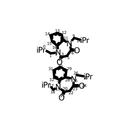 CC(C)CN1C(=O)CC(=O)N(CC(C)C)c2ccccc21.CC(C)CN1C(=O)CC(=O)N(CC(C)C)c2ccccc21